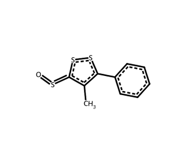 Cc1c(-c2ccccc2)ssc1=S=O